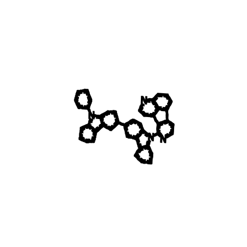 c1ccc(-n2c3ccccc3c3cc(-c4ccc5c(c4)c4ccccc4n5-c4nccc5c4-c4ccnc6cccc-5c46)ccc32)cc1